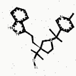 CCOC(C)(C)[C@@]1(CCc2n[nH]c3ccccc23)CCN(C(C)(C)c2ccc(C)nc2)C1